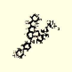 CN(C)CCS(=O)(=O)c1cccnc1Cn1c(=O)c(C(=O)C2CCOCC2)cc2cnc(Nc3ccc(N4CCNCC4)cc3)nc21